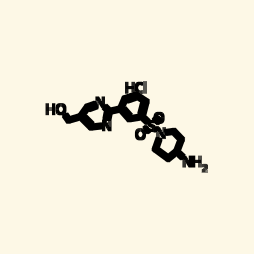 Cl.NC1CCN(S(=O)(=O)c2cccc(-c3ncc(CO)cn3)c2)CC1